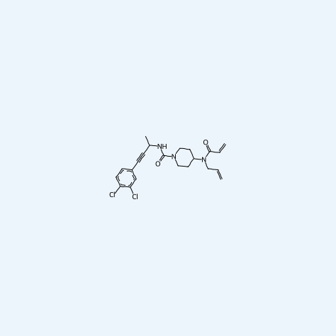 C=CCN(C(=O)C=C)C1CCN(C(=O)NC(C)C#Cc2ccc(Cl)c(Cl)c2)CC1